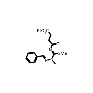 CCOC(=O)CCC(=O)N=C(SC)N(C)N=Cc1ccccc1